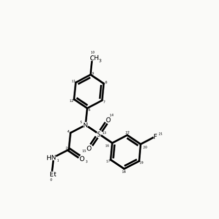 CCNC(=O)CN(c1ccc(C)cc1)S(=O)(=O)c1cccc(F)c1